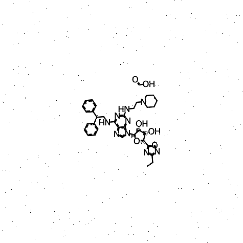 CCc1noc([C@H]2O[C@@H](n3cnc4c(NCC(c5ccccc5)c5ccccc5)nc(NCCN5CCCCC5)nc43)[C@H](O)[C@@H]2O)n1.O=CO